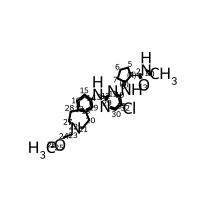 CNC(=O)[C@@H]1CCC[C@@H]1Nc1nc(Nc2ccc3c(c2)CCN(CCOC)CC3)ncc1Cl